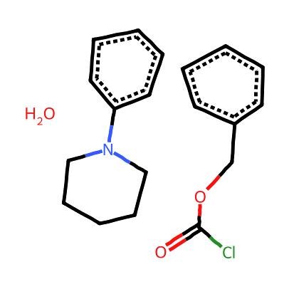 O.O=C(Cl)OCc1ccccc1.c1ccc(N2CCCCC2)cc1